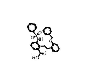 O=C(O)c1cccc(NS(=O)(=O)c2ccccc2)c1CCc1ccccc1OCc1ccccc1